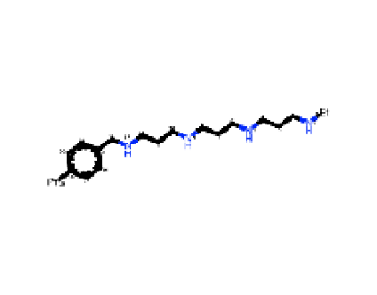 CCNCCCNCCCNCCCNCc1ccc(C(C)C)cc1